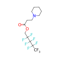 O=C(CCN1CCCCC1)OCC(F)(F)C(F)(F)C(F)(F)C(F)(F)F